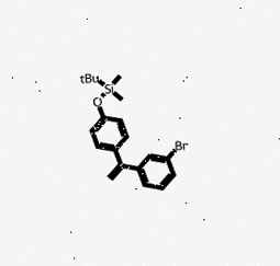 C=C(c1ccc(O[Si](C)(C)C(C)(C)C)cc1)c1cccc(Br)c1